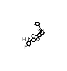 NC1(c2ccc(F)cc2)CCC(Oc2cc3ccnc(OCc4ccccc4)c3cc2Cl)CC1